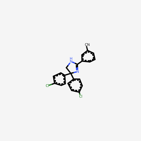 N#Cc1cccc(C2=NC(c3ccc(Cl)cc3)(c3ccc(Cl)cc3)CN2)c1